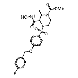 COC(=O)N1CCN(S(=O)(=O)c2ccc(OCc3ccc(F)cc3)cc2)C(C(=O)NO)C1C